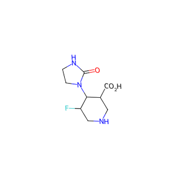 O=C(O)C1CNCC(F)C1N1CCNC1=O